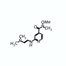 CON(C)C(=O)c1ccnc(NC=CN(C)C)c1